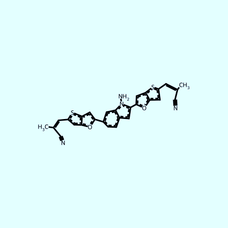 C/C(C#N)=C/c1cc2oc(-c3ccc4cc(-c5cc6sc(/C=C(/C)C#N)cc6o5)n(N)c4c3)cc2s1